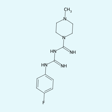 CN1CCN(C(=N)NC(=N)Nc2ccc(F)cc2)CC1